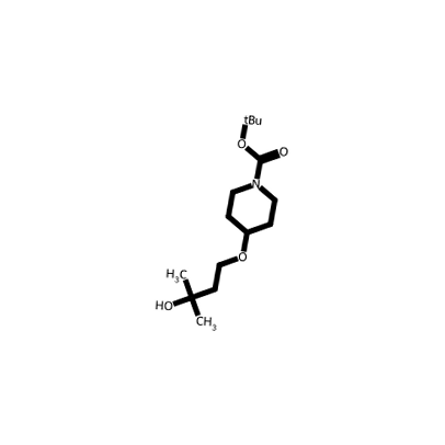 CC(C)(O)CCOC1CCN(C(=O)OC(C)(C)C)CC1